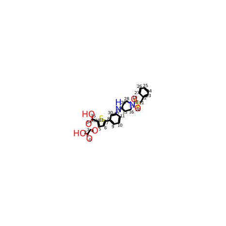 O=C(O)COc1cc(-c2cccc(NC3CCN(S(=O)(=O)Cc4ccccc4)CC3)c2)sc1C(=O)O